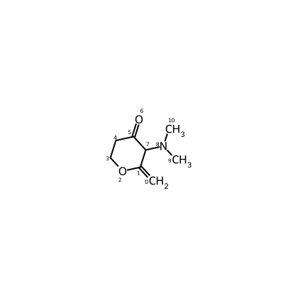 C=C1OCCC(=O)C1N(C)C